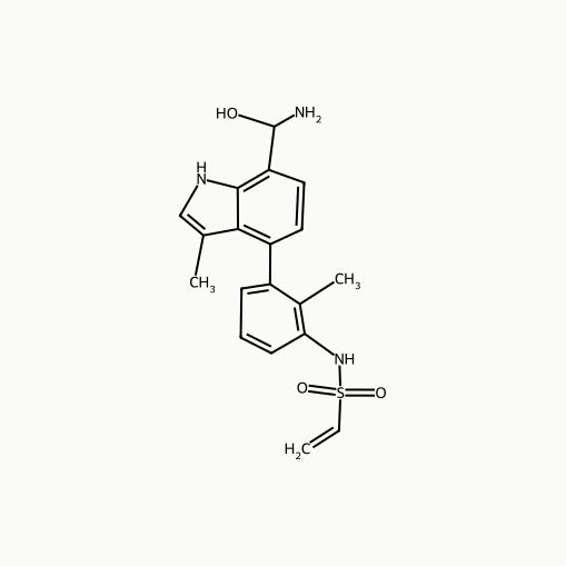 C=CS(=O)(=O)Nc1cccc(-c2ccc(C(N)O)c3[nH]cc(C)c23)c1C